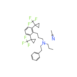 CC#N.CCCN(CCCc1c(C2(C(F)(F)F)CC2)cccc1C1(C(F)(F)F)CC1)CCc1ccccc1